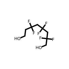 OCCC(F)(F)CC(F)(F)CC(F)(F)CO